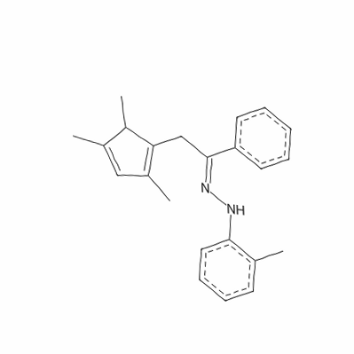 CC1=CC(C)=C(CC(=NNc2ccccc2C)c2ccccc2)C1C